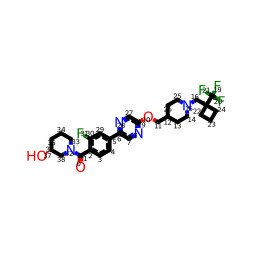 O=C(c1ccc(-c2cnc(OCC3CCN(CC4(C(F)(F)F)CCC4)CC3)cn2)cc1F)N1CCC[C@@H](O)C1